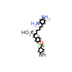 CCCC1CCC(C(F)(F)Oc2ccc(C=C(CCCCCc3ccc(N)cc3N)C(=O)O)cc2)CC1